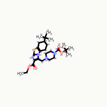 CCOC(=O)c1nc2sc3c(n2c1CN1CCN(C(=O)OC(C)(C)C)CC1)CCC(C(C)(C)C)C3